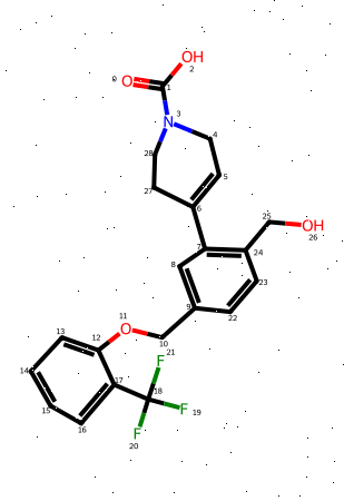 O=C(O)N1CC=C(c2cc(COc3ccccc3C(F)(F)F)ccc2CO)CC1